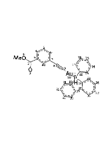 COC(=O)c1cccc(C#[C][Au][PH](c2ccccc2)(c2ccccc2)c2ccccc2)c1